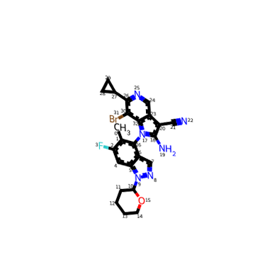 Cc1c(F)cc2c(cnn2C2CCCCO2)c1-n1c(N)c(C#N)c2cnc(C3CC3)c(Br)c21